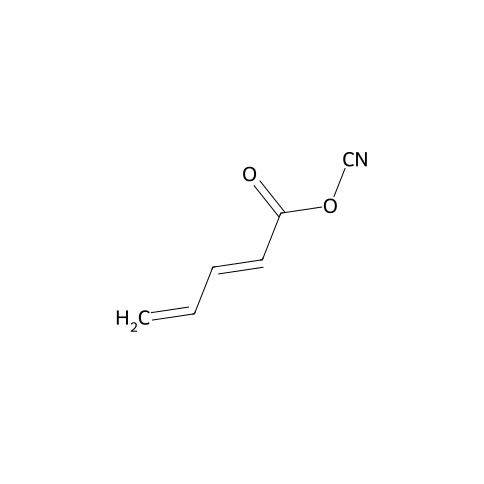 C=CC=CC(=O)OC#N